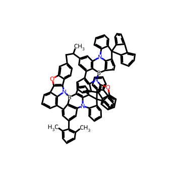 Cc1cccc(C)c1-c1cc2c3c(c1)N1c4ccccc4C4(c5ccccc5-c5ccccc54)c4cccc(c41)B3n1c3c-2cccc3c2oc3cc(CC(C)c4cc5c6c(c4)N4c7ccccc7C7(c8ccccc8-c8ccccc87)c7cccc(c74)B6n4c6oc7ccccc7c6c6cccc-5c64)ccc3c21